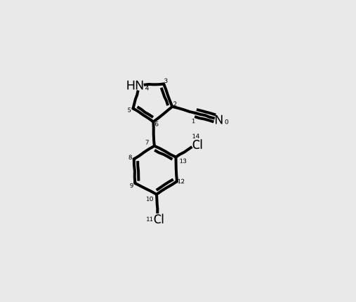 N#Cc1c[nH]cc1-c1ccc(Cl)cc1Cl